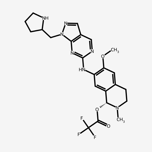 COc1cc2c(cc1Nc1ncc3cnn(CC4CCCN4)c3n1)[C@@H](OC(=O)C(F)(F)F)N(C)CC2